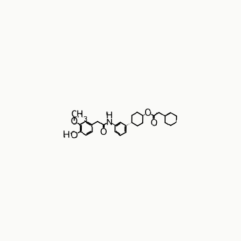 COc1cc(CC(=O)Nc2cccc([C@H]3CC[C@@H](OC(=O)CC4CCCCC4)CC3)c2)ccc1O